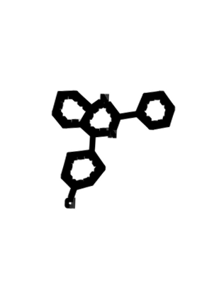 Clc1ccc(-c2nc(-c3ccccc3)nc3ccccc23)cc1